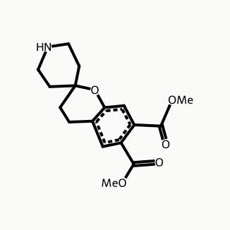 COC(=O)c1cc2c(cc1C(=O)OC)OC1(CCNCC1)CC2